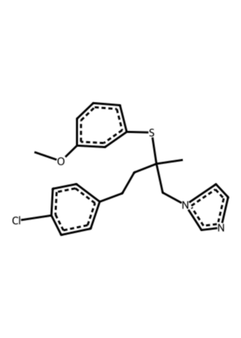 COc1cccc(SC(C)(CCc2ccc(Cl)cc2)Cn2ccnc2)c1